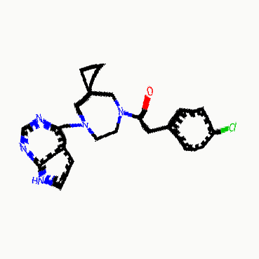 O=C(Cc1ccc(Cl)cc1)N1CCN(c2ncnc3[nH]ccc23)CC2(CC2)C1